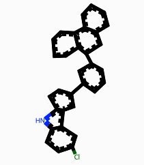 Clc1ccc2[nH]c3ccc(-c4cccc(-c5cc6ccccc6c6ccccc56)c4)cc3c2c1